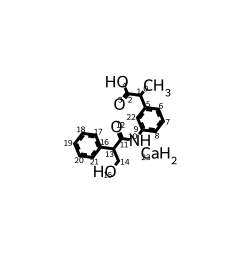 CC(C(=O)O)c1cccc(NC(=O)C(CO)c2ccccc2)c1.[CaH2]